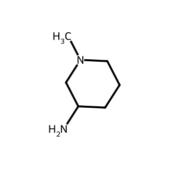 CN1CCCC(N)C1